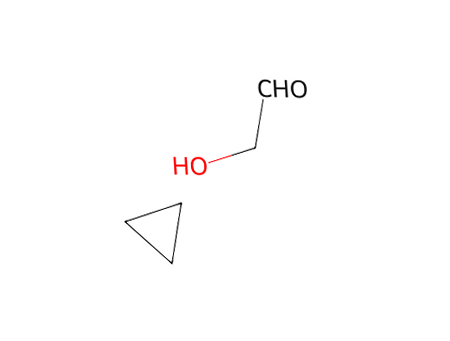 C1CC1.O=CCO